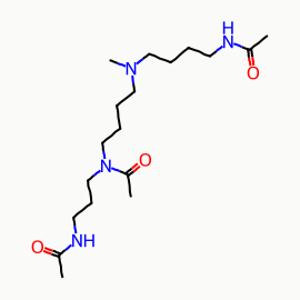 CC(=O)NCCCCN(C)CCCCN(CCCNC(C)=O)C(C)=O